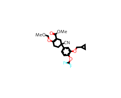 COCOC1=C(C(=O)OC)CC(C#N)(c2ccc(OC(F)F)c(OCC3CC3)c2)CC1